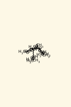 CCOC(=O)COc1ccc2cc(-c3nc4cc(C(=O)N5CCC[C@@H](NC(=O)OC(C)(C)C)C5)cc(OC)n4c3C)n(CCCCCCNC(=O)OC(C)(C)C)c2n1